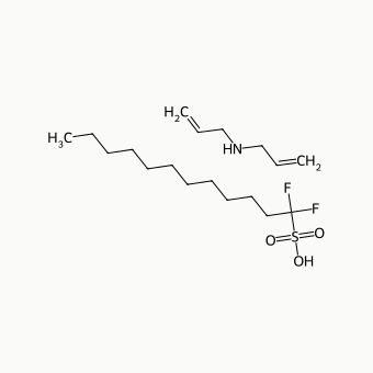 C=CCNCC=C.CCCCCCCCCCCC(F)(F)S(=O)(=O)O